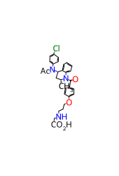 CC(=O)N(c1ccc(Cl)cc1)[C@@H]1C[C@H](C)N(C(=O)c2ccc(OCCCNCC(=O)O)cc2)c2ccccc21